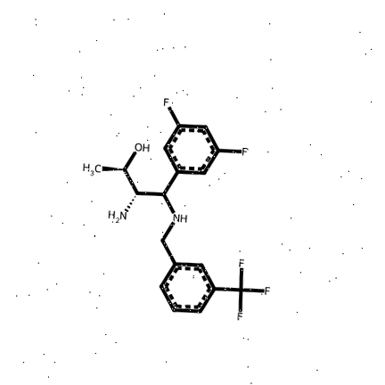 C[C@@H](O)[C@@H](N)C(NCc1cccc(C(F)(F)F)c1)c1cc(F)cc(F)c1